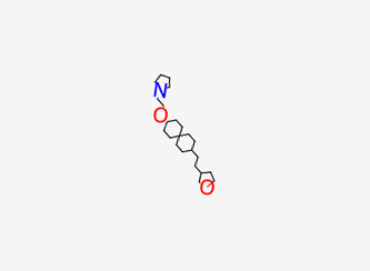 C1CCN(CCOC2CCC3(CCC(CCC4CCOC4)CC3)CC2)C1